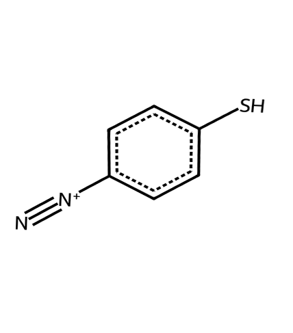 N#[N+]c1ccc(S)cc1